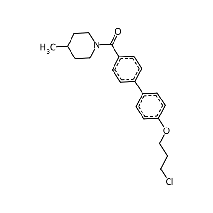 CC1CCN(C(=O)c2ccc(-c3ccc(OCCCCl)cc3)cc2)CC1